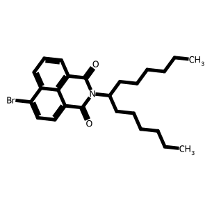 CCCCCCC(CCCCCC)N1C(=O)c2cccc3c(Br)ccc(c23)C1=O